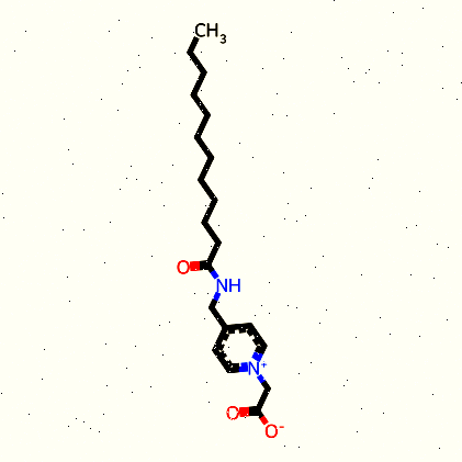 CCCCCCCCCCCC(=O)NCc1cc[n+](CC(=O)[O-])cc1